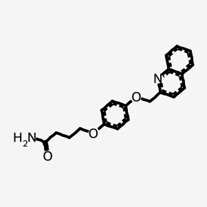 NC(=O)CCCOc1ccc(OCc2ccc3ccccc3n2)cc1